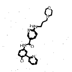 O=C(Nc1ccc(Cl)c(-c2ccccn2)c1)c1ccc(NCCCN2CCOCC2)nc1